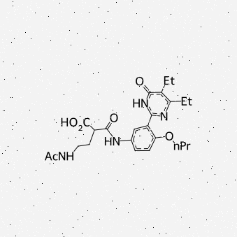 CCCOc1ccc(NC(=O)C(CCNC(C)=O)C(=O)O)cc1-c1nc(CC)c(CC)c(=O)[nH]1